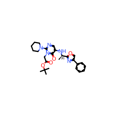 C[C@@H](Nc1cnc(N2CCCCC2)n(CC(=O)OC(C)(C)C)c1=O)c1nc(-c2ccccc2)co1